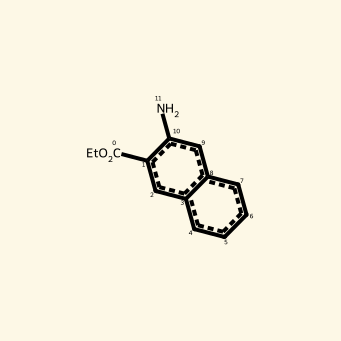 CCOC(=O)c1cc2ccccc2cc1N